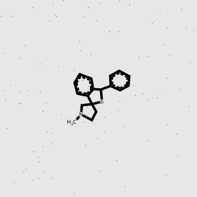 CN1CCC2(C1)SC(c1ccccc1)c1ccccc12